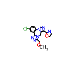 COCc1nnc2n1Cc1c(C3=NCCO3)ncn1-c1ccc(Cl)cc1-2